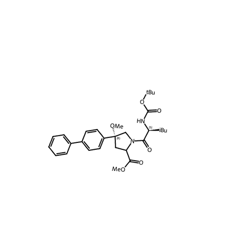 CCC(C)[C@H](NC(=O)OC(C)(C)C)C(=O)N1C[C@](OC)(c2ccc(-c3ccccc3)cc2)CC1C(=O)OC